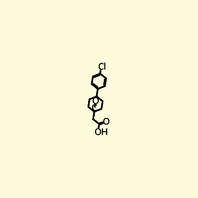 O=C(O)CC12CCC(c3ccc(Cl)cc3)(CC1)OC2